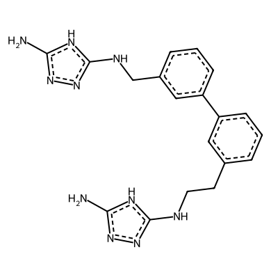 Nc1nnc(NCCc2cccc(-c3cccc(CNc4nnc(N)[nH]4)c3)c2)[nH]1